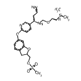 C[SiH](C)CCOCN/C(=C\C=N)c1ccc(Oc2ccc3c(c2)OC(COS(C)(=O)=O)C3)nc1